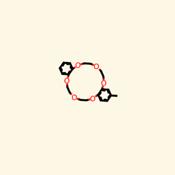 Cc1ccc2c(c1)OCCOCCOc1ccccc1OCCOCCO2